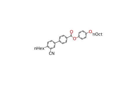 CCCCCCCCOc1ccc(OC(=O)c2ccc(-c3ccc(CCCCCC)c(C#N)c3)cc2)cc1